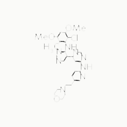 COc1cc(OC)c(Cl)c(Nc2ncncc2-c2cc(Nc3ccc(CCN4CCOCC4)cn3)ncn2)c1C